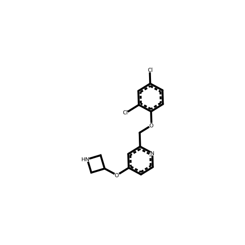 Clc1ccc(OCc2cc(OC3CNC3)ccn2)c(Cl)c1